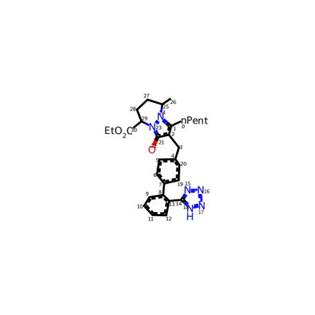 CCCCCc1c(Cc2ccc(-c3ccccc3-c3nnn[nH]3)cc2)c(=O)n2n1C(C)CCC2C(=O)OCC